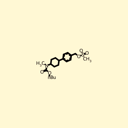 CCCCOC(=O)N(C)C1CCC(c2ccc(COS(C)(=O)=O)cc2)CC1